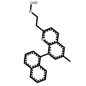 O=COCCc1ccc2cc(I)cc(-c3cccc4ccccc34)c2n1